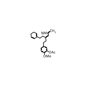 C=C/C=C(/CCc1ccc(OC)c(OC(C)=O)c1)[C@H](CC1=CCCC=C1)NC